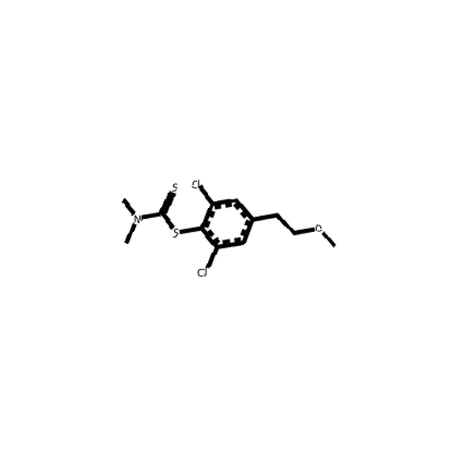 COCCc1cc(Cl)c(SC(=S)N(C)C)c(Cl)c1